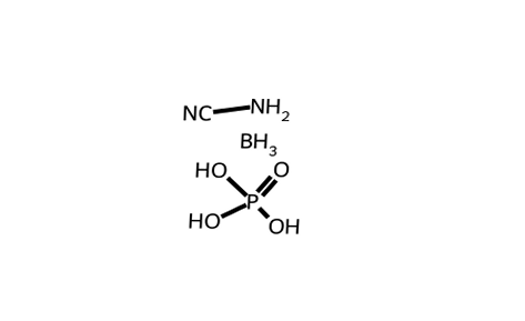 B.N#CN.O=P(O)(O)O